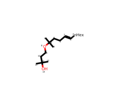 CCCCCC/C=C/CCC(C)(C)OCCC(C)(C)O